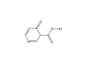 CCOC(=O)C1C=NC=CC1=O